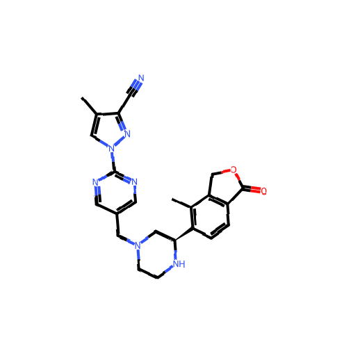 Cc1cn(-c2ncc(CN3CCN[C@H](c4ccc5c(c4C)COC5=O)C3)cn2)nc1C#N